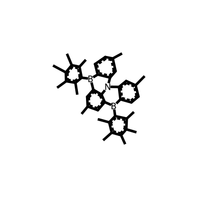 Cc1cc2c3c(c1)B(c1c(C)c(C)c(C)c(C)c1C)c1ccc(C)cc1N3c1cc(C)ccc1B2c1c(C)c(C)c(C)c(C)c1C